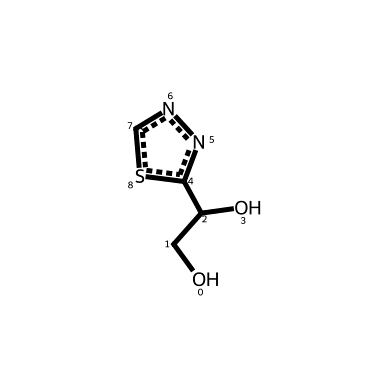 OCC(O)c1nn[c]s1